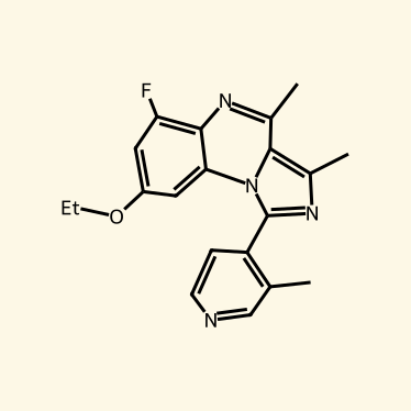 CCOc1cc(F)c2nc(C)c3c(C)nc(-c4ccncc4C)n3c2c1